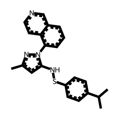 Cc1cc(NSc2ccc(C(C)C)cc2)n(-c2cccc3cnccc23)n1